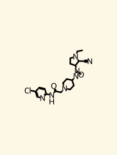 CCN1CCC(n2on2C2CCN(CC(=O)Nc3ccc(Cl)cn3)CC2)C1C#N